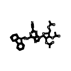 CC(=O)OCC1OC(n2cnc3c(NCC4c5ccccc5-c5ccccc54)nc(C#N)nc32)C(OC(C)=O)C1OC(C)=O